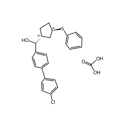 O=C(O)O.OC(c1ccc(-c2ccc(Cl)cc2)cc1)[C@@H]1CC[C@@H](Sc2ccccc2)C1